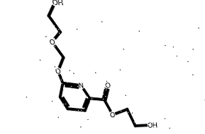 O=C(OCCO)c1cccc(OCOCCO)n1